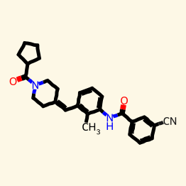 Cc1c(C=C2CCN(C(=O)C3CCCC3)CC2)cccc1NC(=O)c1cccc(C#N)c1